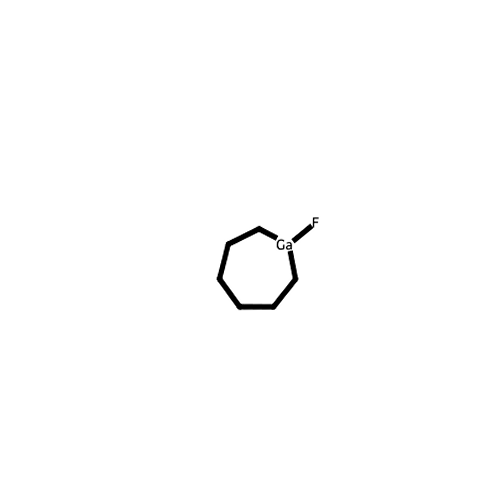 [F][Ga]1[CH2]CCCC[CH2]1